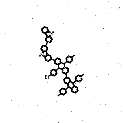 CCc1ccc(C2c3cc(-c4ccc5c(-c6ccc(C)cc6)c6ccccc6c(-c6ccc(C)cc6)c5c4)ccc3C(c3ccc(C)cc3)c3ccc(-c4ccc5c(c4)c4cc(-c6ccc7c(c6)c6ccccc6n7C)ccc4n5C)cc32)cc1